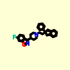 Fc1ccc2c(C3CCN(CCC4(c5ccccc5)C=c5ccccc5=C4)CC3)noc2c1